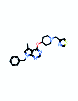 Cc1cn(Cc2ccccc2)c2ncnc(OC3CCN(Cc4cscn4)CC3)c12